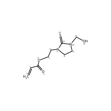 C=CC(=O)OCCN1CCN(CO)C1=S